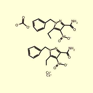 CCc1c([N+](=O)[O-])c(C(N)=O)nn1Cc1ccccc1.CCc1c([N+](=O)[O-])c(C(N)=O)nn1Cc1ccccc1.O=C([O-])[O-].[Cs+].[Cs+]